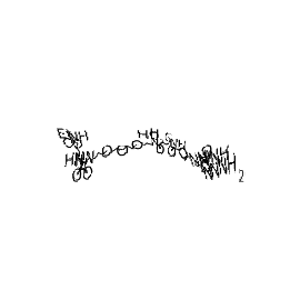 CCNC(=O)OCCNc1c(NCCCOCCOCCOCCCNC(=O)CC[C@H](NC(=O)c2ccc(NCc3cnc4nc(N)[nH]c(=O)c4n3)cc2)C(=O)O)c(=O)c1=O